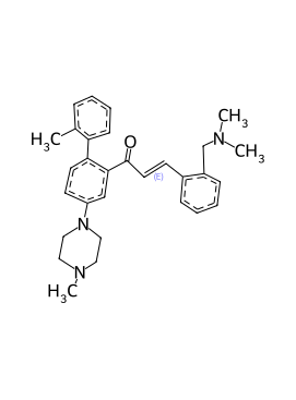 Cc1ccccc1-c1ccc(N2CCN(C)CC2)cc1C(=O)/C=C/c1ccccc1CN(C)C